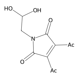 CC(=O)C1=C(C(C)=O)C(=O)N(CC(O)O)C1=O